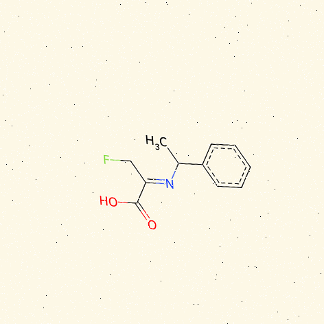 CC(N=C(CF)C(=O)O)c1ccccc1